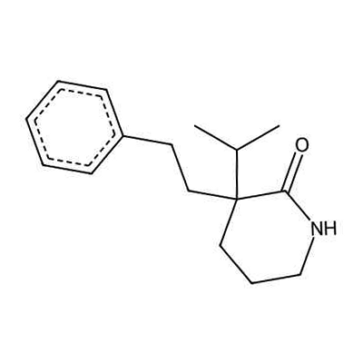 CC(C)C1(CCc2ccccc2)CCCNC1=O